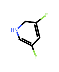 FC1=[C]NCC(F)=C1